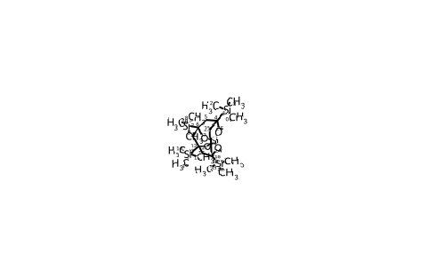 C[Si](C)(C)C12CC3([Si](C)(C)C)CC4([Si](C)(C)C)CC([Si](C)(C)C)(C1)O[Si](O2)(O3)O4